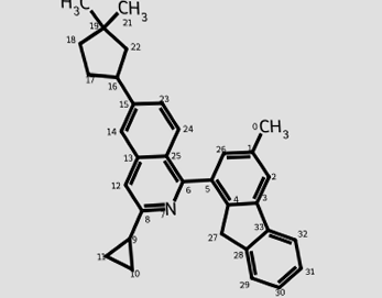 Cc1cc2c(c(-c3nc(C4CC4)cc4cc(C5CCC(C)(C)C5)ccc34)c1)Cc1ccccc1-2